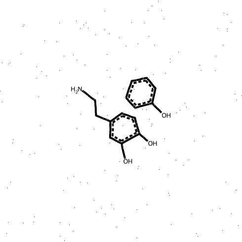 NCCc1ccc(O)c(O)c1.Oc1ccccc1